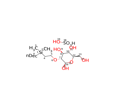 CCCCCCCCCC[Si](C)(C)CCO[C@@H]1[C@@H](O)[C@H](O)[C@@H](CO)O[C@H]1O.O=S(=O)(O)O